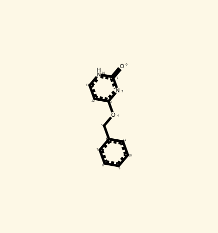 O=c1nc(OCc2ccccc2)cc[nH]1